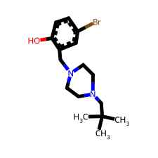 CC(C)(C)CN1CCN(Cc2cc(Br)ccc2O)CC1